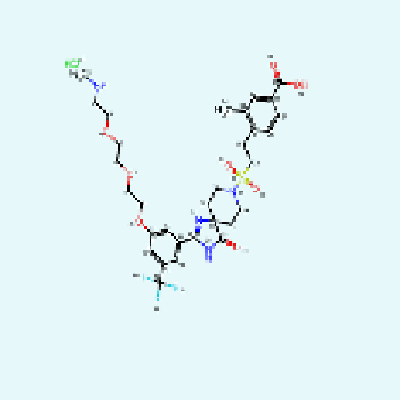 CNCCOCCOCCOc1cc(C2=NC3(CCN(S(=O)(=O)CCc4ccc(C(=O)O)cc4C)CC3)C(=O)N2)cc(C(F)(F)F)c1.Cl